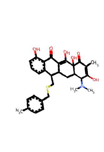 CC1=C(O)C(N(C)C)C2CC3C(=C(O)C2(O)C1=O)C(=O)c1c(O)cccc1C3CSCc1ccc(C)cc1